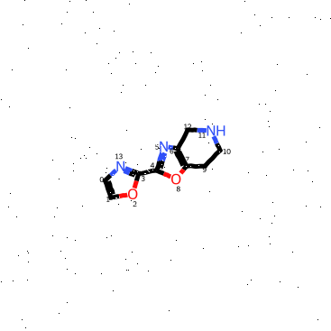 c1coc(-c2nc3c(o2)CCNC3)n1